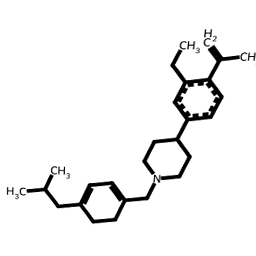 C=C(C)c1ccc(C2CCN(CC3=CC=C(CC(C)C)CC3)CC2)cc1CC